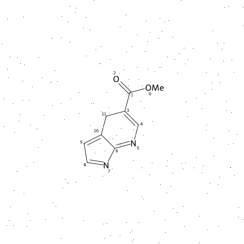 COC(=O)C1=CN=C2N=CC=C2C1